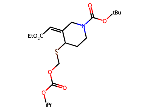 CCOC(=O)/C=C1/CN(C(=O)OC(C)(C)C)CCC1SCOC(=O)OC(C)C